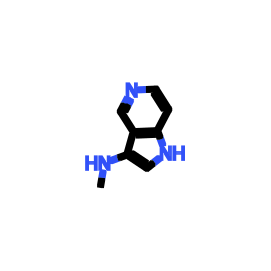 CNc1c[nH]c2ccncc12